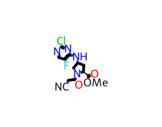 COC(=O)[C@@H]1C[C@H](Nc2nc(Cl)ncc2F)CN1C(=O)CC#N